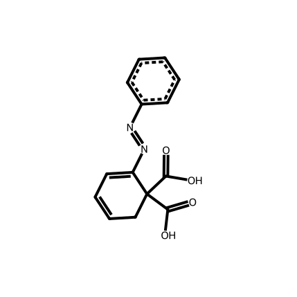 O=C(O)C1(C(=O)O)CC=CC=C1N=Nc1ccccc1